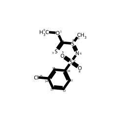 COC(=S)S(C)=NS(=O)(=O)c1cccc(Cl)c1